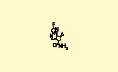 NC(=O)C1CC2(CC2)c2c1cnc1cc(F)nn21